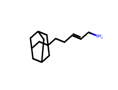 NCC=CCCC12CC3CC(CC(C3)C1)C2